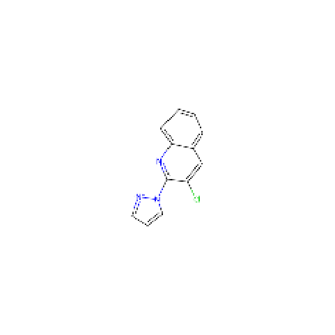 Clc1cc2ccccc2nc1N1C=CC=[N+]1